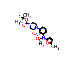 Cc1ccc(N(C)c2cccc(N3CCN(C(=O)OC(C)(C)C)CC3)c2[N+](=O)[O-])o1